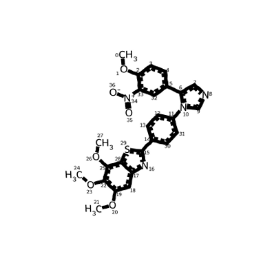 COc1ccc(-c2cncn2-c2ccc(-c3nc4cc(OC)c(OC)c(OC)c4s3)cc2)cc1[N+](=O)[O-]